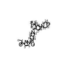 CCC(=O)c1ccn(C(=O)N2CC3CN(Cc4ccc(N5CCOCC5)cc4C(F)(F)F)CC3C2)n1